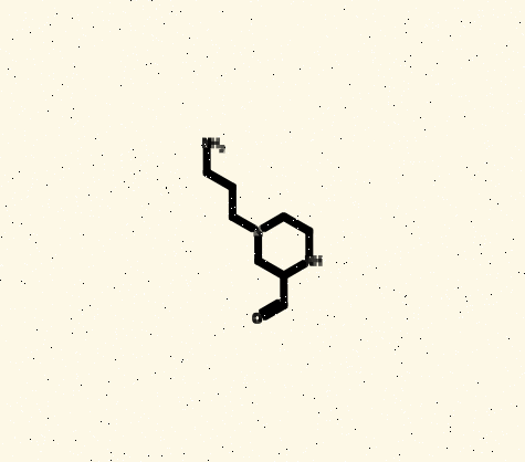 NCCCN1CCNC(C=O)C1